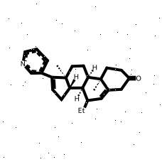 CCC1C=C2CC(=O)CC[C@]2(C)[C@@H]2CC[C@]3(C)C(c4cccnc4)=CC[C@H]3[C@H]12